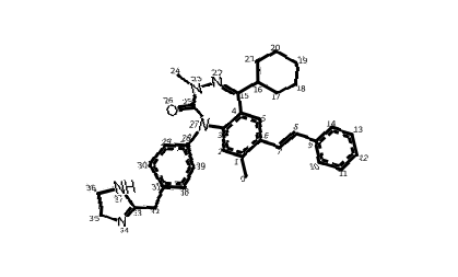 Cc1cc2c(cc1C=Cc1ccccc1)C(C1CCCCC1)=NN(C)C(=O)N2c1ccc(CC2=NCCN2)cc1